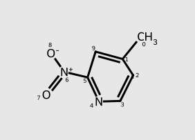 Cc1[c]cnc([N+](=O)[O-])c1